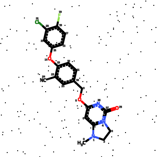 CN1CCn2c1cc(OCc1ccc(Oc3ccc(F)c(Cl)c3)c(C#N)c1)nc2=O